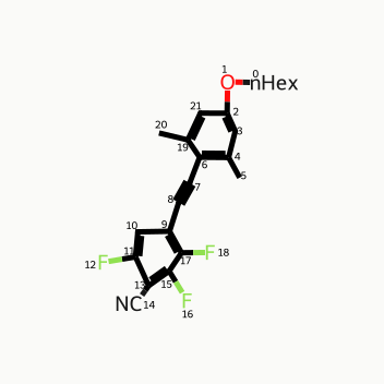 CCCCCCOc1cc(C)c(C#Cc2cc(F)c(C#N)c(F)c2F)c(C)c1